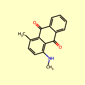 CNc1ccc(C)c2c1C(=O)c1ccccc1C2=O